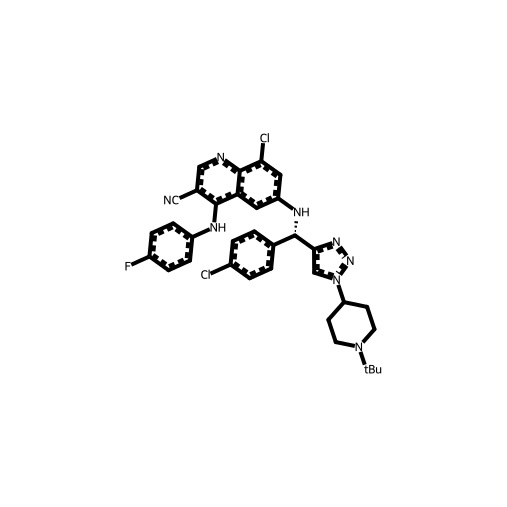 CC(C)(C)N1CCC(n2cc([C@@H](Nc3cc(Cl)c4ncc(C#N)c(Nc5ccc(F)cc5)c4c3)c3ccc(Cl)cc3)nn2)CC1